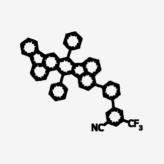 N#Cc1cc(-c2cccc(-c3ccc4c5c(-c6ccccc6)c6c(cc7c8ccccc8c8cccc6c87)c(-c6ccccc6)c5c5cccc3c54)c2)cc(C(F)(F)F)c1